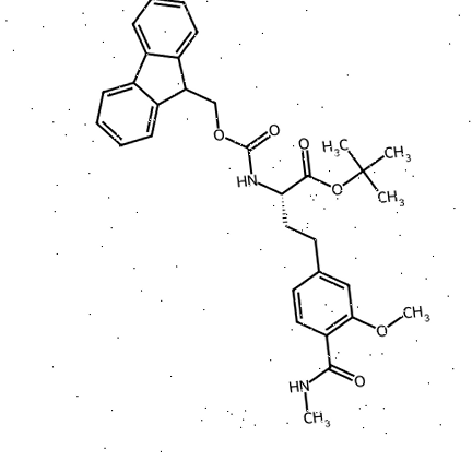 CNC(=O)c1ccc(CC[C@H](NC(=O)OCC2c3ccccc3-c3ccccc32)C(=O)OC(C)(C)C)cc1OC